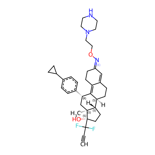 C#CC(F)(F)[C@]1(O)CC[C@H]2[C@@H]3CCC4=C/C(=N/OCCN5CCNCC5)CCC4=C3[C@@H](c3ccc(C4CC4)cc3)C[C@@]21C